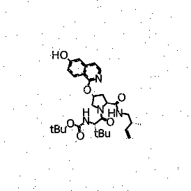 C=C[C@@H](C)CNC(=O)[C@@H]1C[C@@H](Oc2nccc3cc(O)ccc23)CN1C(=O)[C@@H](NC(=O)OC(C)(C)C)C(C)(C)C